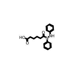 O=C(O)CCCCC(=O)N(Nc1ccccc1)c1ccccc1